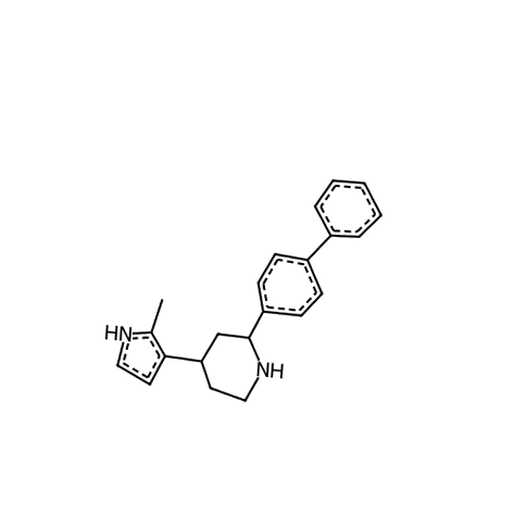 Cc1[nH]ccc1C1CCNC(c2ccc(-c3ccccc3)cc2)C1